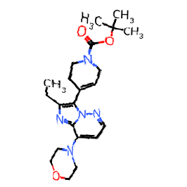 CCc1nc2c(N3CCOCC3)ccnn2c1C1=CCN(C(=O)OC(C)(C)C)CC1